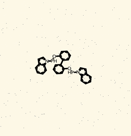 c1ccc(-c2ccccc2OPn2ccc3ccccc32)c(OPn2ccc3ccccc32)c1